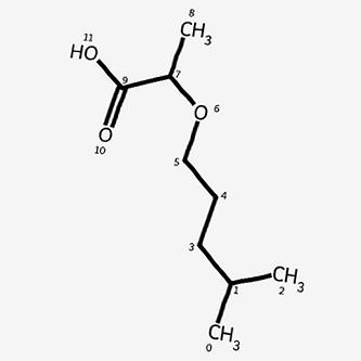 CC(C)CCCOC(C)C(=O)O